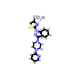 O=C(O)c1csc(-n2nc(N3CCN(c4ccccn4)CC3)c3ccccc32)n1